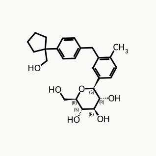 Cc1ccc([C@@H]2O[C@H](CO)[C@@H](O)[C@H](O)[C@H]2O)cc1Cc1ccc(C2(CO)CCCC2)cc1